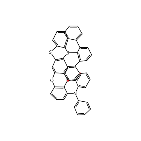 c1ccc(-c2cccc(-c3ccccc3)c2B2c3ccccc3Sc3cc4c(cc32)B2c3ccccc3N(c3ccccc3)c3cccc(c32)O4)cc1